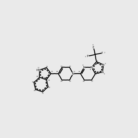 FC(F)(F)c1nnc2n1N=C(N1CC=C(c3c[nH]c4ccccc34)CC1)CC2